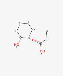 CCC(=O)O.OC1CCCCC1